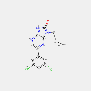 O=c1[nH]c2ncc(-c3cc(Cl)cc(Cl)c3)nc2n1CC1CC1